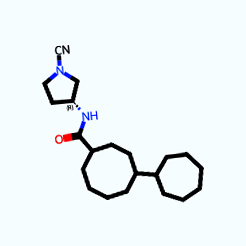 N#CN1CC[C@@H](NC(=O)C2CCCCC(C3CCCCCC3)CC2)C1